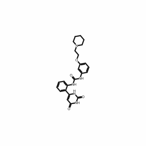 O=C(Nc1cccc(OCCN2CCCCC2)c1)Nc1ccccc1-c1cc(=O)[nH]c(=O)[nH]1